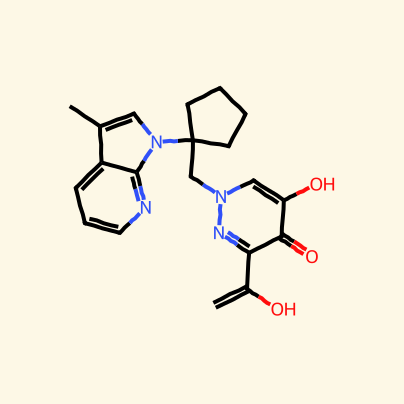 C=C(O)c1nn(CC2(n3cc(C)c4cccnc43)CCCC2)cc(O)c1=O